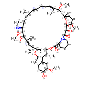 CCO[C@@H]1C[C@@H]([C@H](C)C[C@@H]2CC[C@@H](O)[C@H](OC)C2)OC(=O)[C@@H]2CCCCN2C(=O)C(=O)[C@]2(O)O[C@@H](CC[C@H]2C)C[C@H](OC)/C(C)=C/C=C/C=C/[C@@H](C)C[C@@H](C)C(=N)[C@H](OC)[C@H](O)/C(C)=C/[C@H]1C